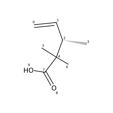 C=C[C@H](C)C(C)(C)C(=O)O